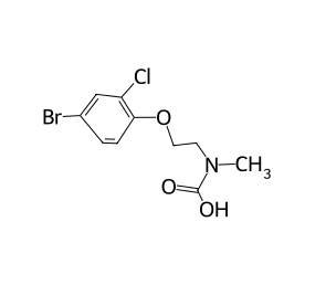 CN(CCOc1ccc(Br)cc1Cl)C(=O)O